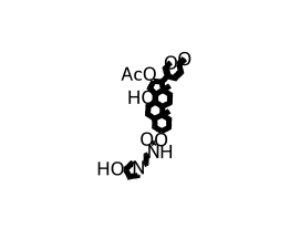 CC(=O)OC1CC2(O)C3CCC4CC(OC(=O)NCCN5CCC(O)C5)CCC4(C)C3CCC2(C)C1c1ccc(=O)oc1